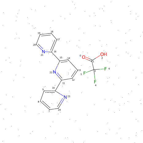 O=C(O)C(F)(F)F.c1ccc(-c2cccc(-c3ccccn3)n2)nc1